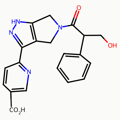 O=C(O)c1ccc(-c2n[nH]c3c2CN(C(=O)C(CO)c2ccccc2)C3)nc1